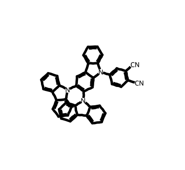 N#Cc1ccc(-n2c3ccccc3c3cc(-n4c5ccccc5c5ccccc54)c(-n4c5ccccc5c5ccccc54)cc32)cc1C#N